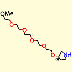 COCCOCCOCCOCCOCCO[C@H]1CCNC1